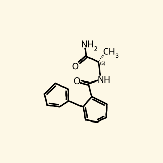 C[C@H](NC(=O)c1ccccc1-c1ccccc1)C(N)=O